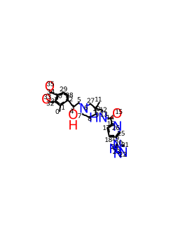 Cc1c([C@@H](O)CN2CCCC(C)(CNC(=O)c3ccc(-n4cnnn4)cn3)C2)ccc2c1COC2=O